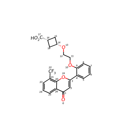 O=c1cc(-c2ccccc2OCCO[C@H]2C[C@@H](C(=O)O)C2)oc2c(C(F)(F)F)cccc12